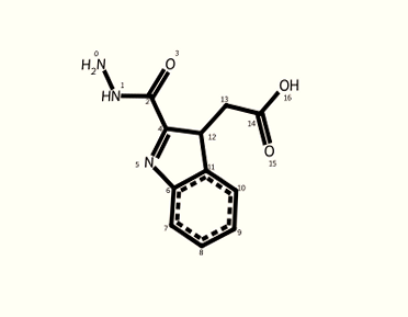 NNC(=O)C1=Nc2ccccc2C1CC(=O)O